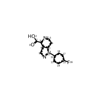 O=C(O)c1nccc2c1cnn2-c1ccc(F)cc1